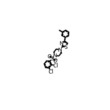 Cc1cccc(-c2csc(N3CCN(S(=O)(=O)c4cccc(Cl)c4Cl)CC3)n2)c1